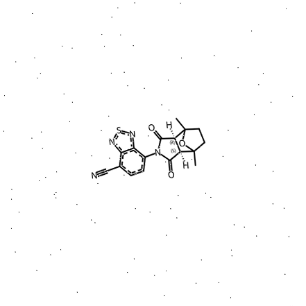 CC12CCC(C)(O1)[C@H]1C(=O)N(c3ccc(C#N)c4nsnc34)C(=O)[C@H]12